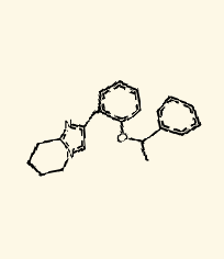 CC(Oc1ccccc1-c1cn2c(n1)CCCC2)c1ccccc1